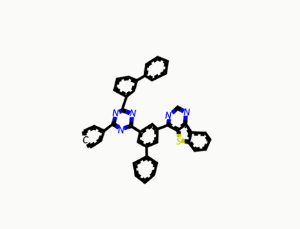 c1ccc(-c2cccc(-c3nc(-c4ccccc4)nc(-c4cc(-c5ccccc5)cc(-c5ncnc6c5sc5ccccc56)c4)n3)c2)cc1